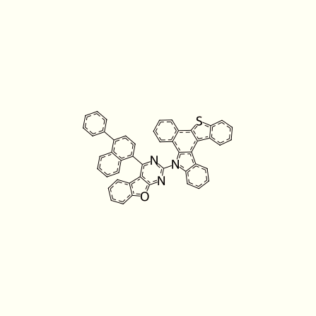 c1ccc(-c2ccc(-c3nc(-n4c5ccccc5c5c6c7ccccc7sc6c6ccccc6c54)nc4oc5ccccc5c34)c3ccccc23)cc1